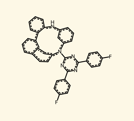 Fc1ccc(-c2nc(-c3ccc(F)cc3)nc(-n3c4cccc(c4)[nH]c4ccccc4c4cccc5ccc3cc54)n2)cc1